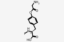 NCC(=O)Oc1ccc(C[C@H](NI)C(=O)O)cc1